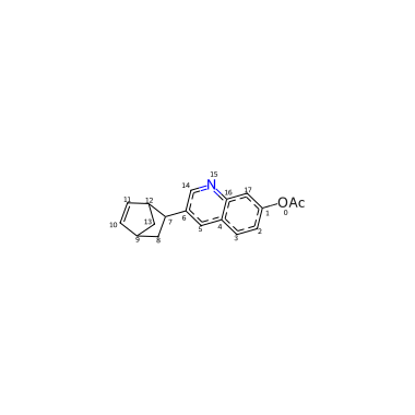 CC(=O)Oc1ccc2cc(C3CC4C=CC3C4)cnc2c1